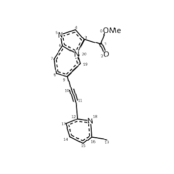 COC(=O)c1cnc2ccc(C#Cc3cccc(C)n3)cn12